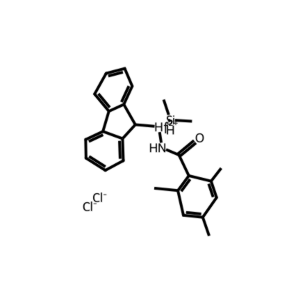 Cc1cc(C)c(C(=O)[NH][Hf+2]([CH]2c3ccccc3-c3ccccc32)[SiH](C)C)c(C)c1.[Cl-].[Cl-]